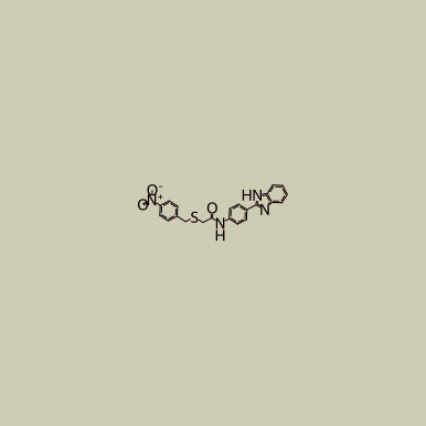 O=C(CSCc1ccc([N+](=O)[O-])cc1)Nc1ccc(-c2nc3ccccc3[nH]2)cc1